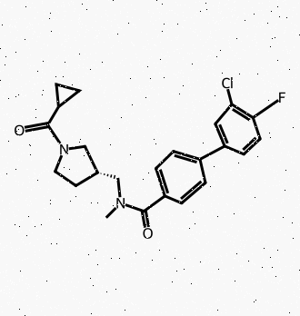 CN(C[C@@H]1CCN(C(=O)C2CC2)C1)C(=O)c1ccc(-c2ccc(F)c(Cl)c2)cc1